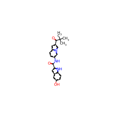 CC(C)(C)C(=O)c1cc2ccc(NC(=O)c3cc4cc(O)ccc4[nH]3)cn2c1